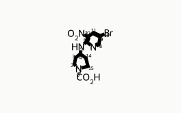 O=C(O)N1CCC(Nc2ncc(Br)cc2[N+](=O)[O-])CC1